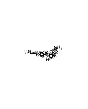 C[C@@]1(c2cc(NC(=O)c3ccc(OCC#CCO)cn3)ccc2F)CCSC(N)=N1